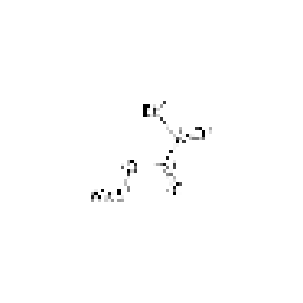 CCC(=O)C(=O)OSC